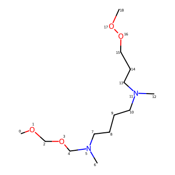 COCOCN(C)CCCCN(C)CCCOOC